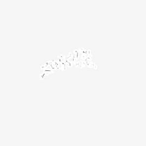 CC(C)C(=O)C1CC(c2ccc(NC(=O)N3Cc4ccc(C#N)cc4C3)cc2)=CCN1